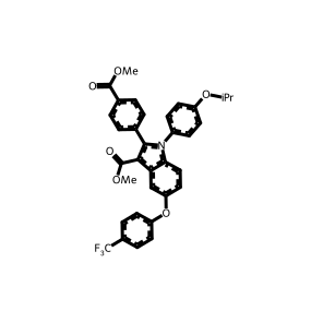 COC(=O)c1ccc(-c2c(C(=O)OC)c3cc(Oc4ccc(C(F)(F)F)cc4)ccc3n2-c2ccc(OC(C)C)cc2)cc1